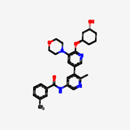 Cc1ncc(NC(=O)c2cccc(C(F)(F)F)c2)cc1-c1cnc(O[C@@H]2CCC[C@@H](O)C2)c(N2CCOCC2)c1